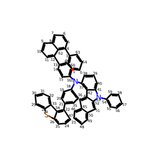 c1ccc(-c2cccc3cccc(-c4ccc(N(c5ccc(-c6cccc7sc8ccccc8c67)cc5)c5cccc6c5c5cc7ccccc7cc5n6-c5ccccc5)cc4)c23)cc1